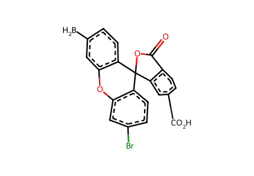 Bc1ccc2c(c1)Oc1cc(Br)ccc1C21OC(=O)c2ccc(C(=O)O)cc21